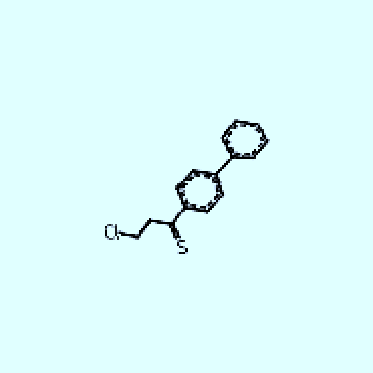 S=C(CCCl)c1ccc(-c2ccccc2)cc1